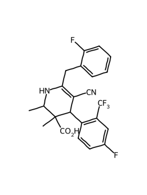 CC1NC(Cc2ccccc2F)=C(C#N)C(c2ccc(F)cc2C(F)(F)F)C1(C)C(=O)O